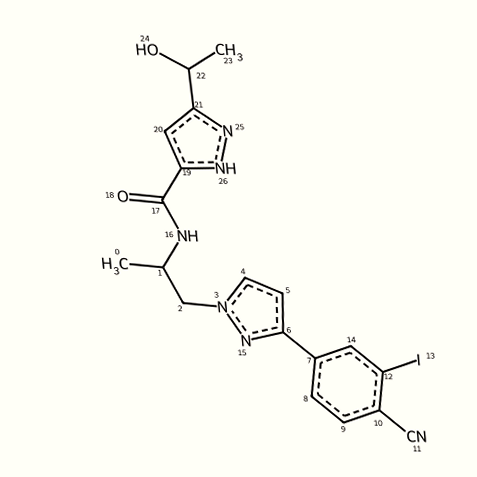 CC(Cn1ccc(-c2ccc(C#N)c(I)c2)n1)NC(=O)c1cc(C(C)O)n[nH]1